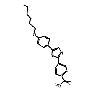 CCCCCCOc1ccc(-c2cnc(-c3ccc(C(=O)O)cc3)s2)cc1